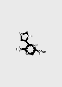 COc1cnc(N)c(C2COCO2)n1